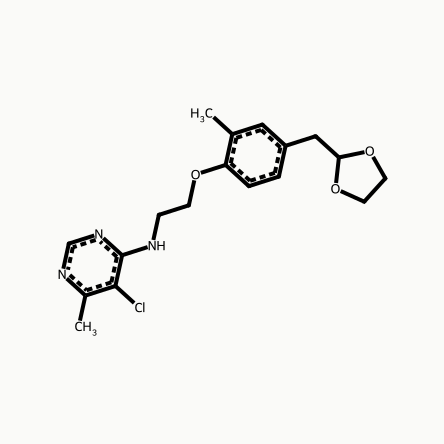 Cc1cc(CC2OCCO2)ccc1OCCNc1ncnc(C)c1Cl